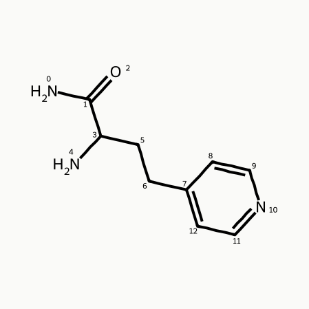 NC(=O)C(N)CCc1ccncc1